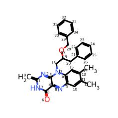 C=c1nc2c(c(=O)[nH]1)=Nc1cc(C)c(C)cc1N2CC(Cc1ccccc1)OCc1ccccc1